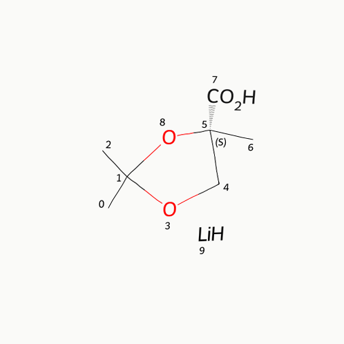 CC1(C)OC[C@@](C)(C(=O)O)O1.[LiH]